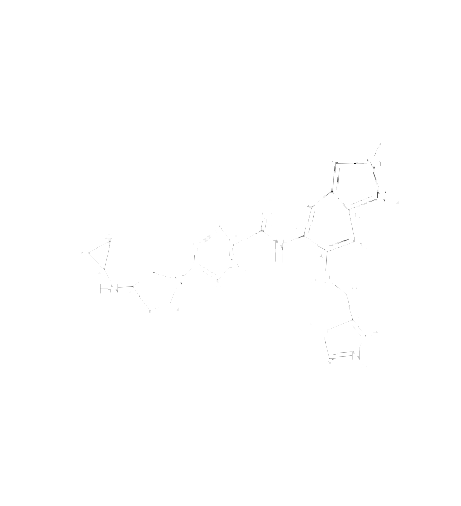 Cn1cc2cc(NC(=O)c3cnc(N4CCC(NC5CC5)C4)cn3)c(OCc3cnco3)cc2n1